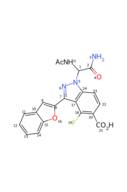 CC(=O)NC(C(N)=O)n1nc(-c2cc3ccccc3o2)c2c(F)c(C(=O)O)ccc21